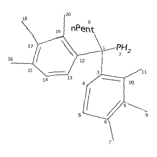 CCCCCC(P)(c1ccc(C)c(C)c1C)c1ccc(C)c(C)c1C